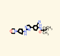 CCC(C)(C)C(=O)Nc1ccc(-c2ccnc(Nc3ccc(N4CCOCC4)cc3)n2)cc1C#N